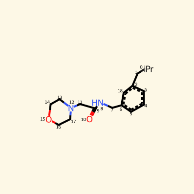 CC(C)Cc1cccc(CNC(=O)CN2CCOCC2)c1